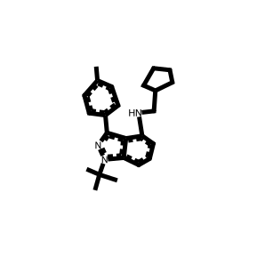 Cc1ccc(-c2nn(C(C)(C)C)c3cccc(NCC4CCCC4)c23)cc1